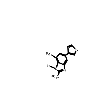 CCn1c(C(=O)O)nc2cc(-c3ccoc3)cc(C(F)(F)F)c21